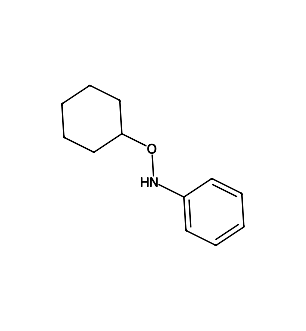 c1ccc(NOC2CCCCC2)cc1